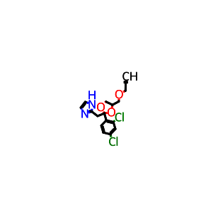 C#CCOCC1COC(Cc2ncc[nH]2)(c2ccc(Cl)cc2Cl)O1